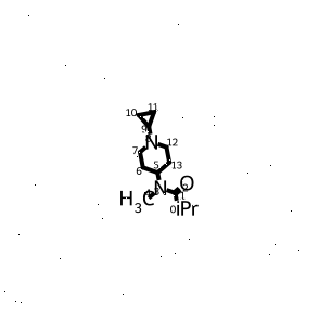 CC(C)C(=O)N(C)C1CCN(C2CC2)CC1